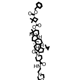 CC1([C@@H]2CC[C@]3(C(=O)N4CCC(C(=O)NCCN5CCOCC5)CC4)CC[C@]4(C)[C@H](CC[C@@H]5[C@@]6(C)CC[C@H](OC(=O)[C@H]7C[C@@H](C(=O)OCc8ccccc8)C7(C)C)C(C)(C)[C@@H]6CC[C@]54C)[C@@H]23)CC1